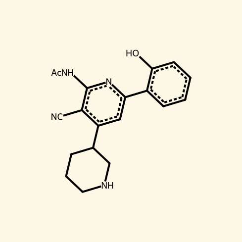 CC(=O)Nc1nc(-c2ccccc2O)cc(C2CCCNC2)c1C#N